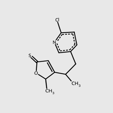 CC(Cc1ccc(Cl)nc1)C1=CC(=S)OC1C